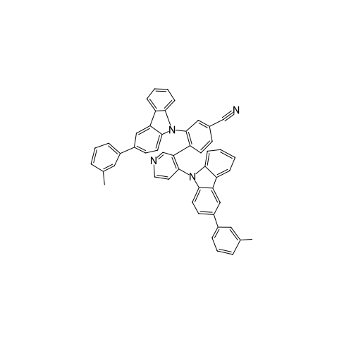 Cc1cccc(-c2ccc3c(c2)c2ccccc2n3-c2ccncc2-c2ccc(C#N)cc2-n2c3ccccc3c3cc(-c4cccc(C)c4)ccc32)c1